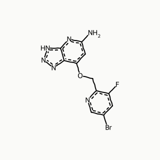 Nc1cc(OCc2ncc(Br)cc2F)c2nn[nH]c2n1